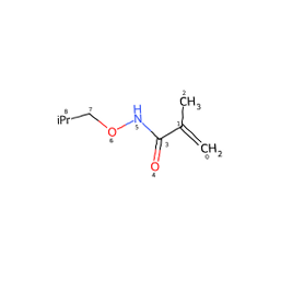 C=C(C)C(=O)NOCC(C)C